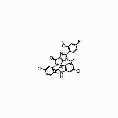 COc1cc(F)ccc1-c1nc2c(n1C(C)C)[C@]1(C(=O)Nc3cc(Cl)ccc31)N(c1cc(Cl)ccc1C)C2=O